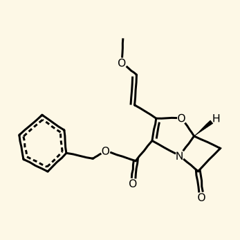 COC=CC1=C(C(=O)OCc2ccccc2)N2C(=O)C[C@H]2O1